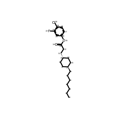 CCCCCCC[C@H]1CC[C@H](CCC(=O)Oc2ccc(Cl)c(F)c2)CC1